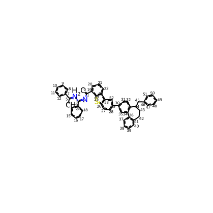 C=C(/N=C(\N=C(/C)c1ccccc1)c1ccccc1)c1cccc2c1sc1ccc(-c3ccc4c(c3)-c3ccccc3CCC4Cc3ccccc3)cc12